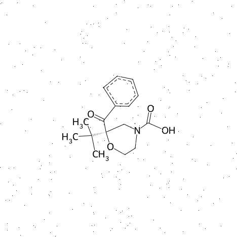 CC(C)(C)[C@]1(C(=O)c2ccccc2)CN(C(=O)O)CCO1